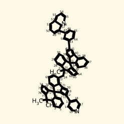 CC1(C)c2ccccc2C2(c3cc(-c4ccncc4)ccc3-c3c(CC4(C)c5ccccc5C5(c6ccccc6-c6cc(-c7cccc(-c8cccc9cccnc89)c7)ccc65)c5ccccc54)cccc32)c2ccccc21